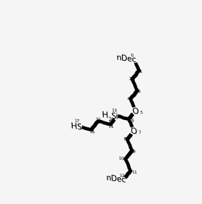 CCCCCCCCCCCCCCOC(OCCCCCCCCCCCCCC)[SiH2]CCCS